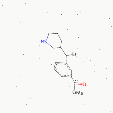 CCC(c1cccc(C(=O)OC)c1)C1CCCNC1